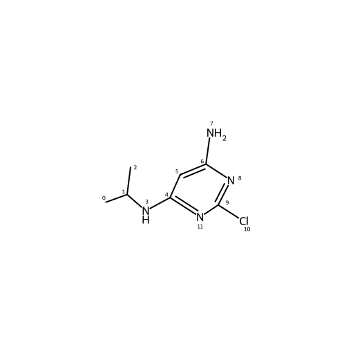 CC(C)Nc1cc(N)nc(Cl)n1